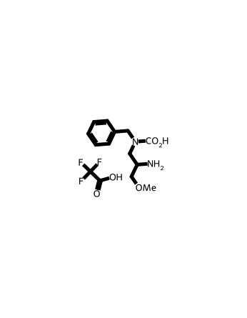 COCC(N)CN(Cc1ccccc1)C(=O)O.O=C(O)C(F)(F)F